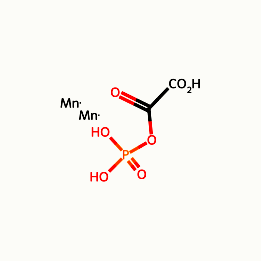 O=C(O)C(=O)OP(=O)(O)O.[Mn].[Mn]